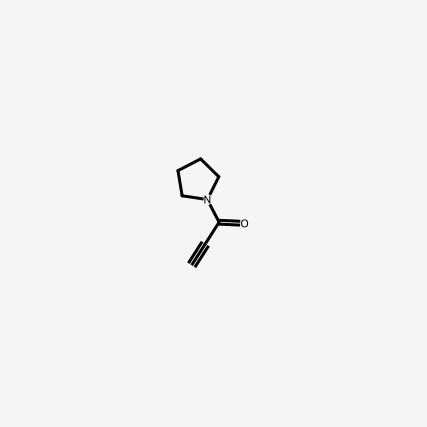 C#CC(=O)N1CCCC1